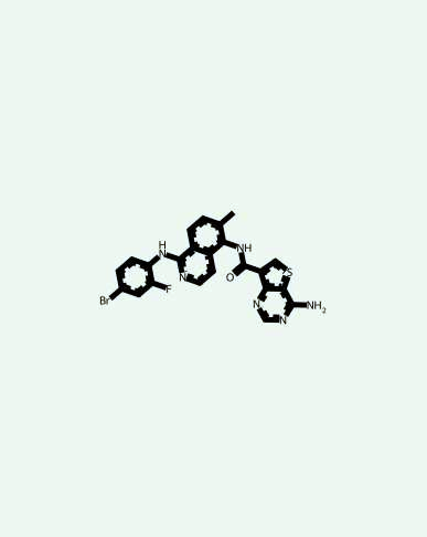 Cc1ccc2c(Nc3ccc(Br)cc3F)nccc2c1NC(=O)c1csc2c(N)ncnc12